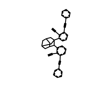 C#Cc1c(C#Cc2ccccc2)cccc1C1C2CC3CC(C2)CC1(c1cccc(C#Cc2ccccc2)c1C#C)C3